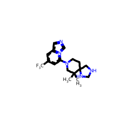 CC1(C)CN(c2cc(C(F)(F)F)cc3cncn23)CCC12CNCN2